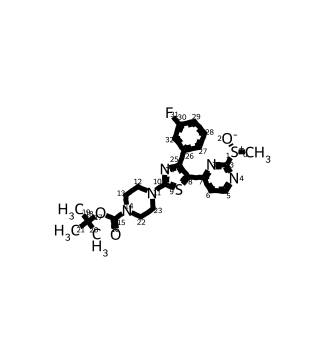 C[S+]([O-])c1nccc(-c2sc(N3CCN(C(=O)OC(C)(C)C)CC3)nc2-c2cccc(F)c2)n1